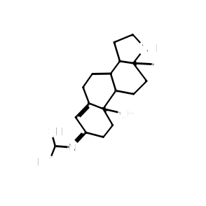 CC(C)/N=C1\C=C2CCC3C4CCNC4(C)CCC3C2(C)CC1